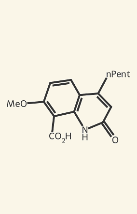 CCCCCc1cc(=O)[nH]c2c(C(=O)O)c(OC)ccc12